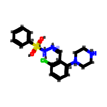 O=S(=O)(N/N=C\c1c(Cl)cccc1N1CCNCC1)c1ccccc1